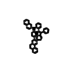 c1ccc(-c2c(-c3ccccc3N(c3ccc(-c4ccc5c(ccc6ccccc65)c4)cc3)c3ccc4ccccc4c3)oc3ccccc23)cc1